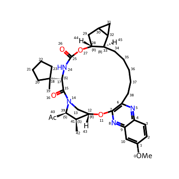 COc1ccc2nc3c(nc2c1)O[C@H]1CN(C(=O)[C@H](C2(C)CCCC2)NC(=O)O[C@@H]2CC4CC4[C@H]2CCCCC3)[C@H](C(C)=O)[C@@H]1C